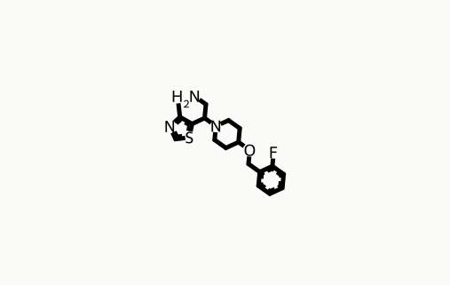 Cc1ncsc1C(CN)N1CCC(OCc2ccccc2F)CC1